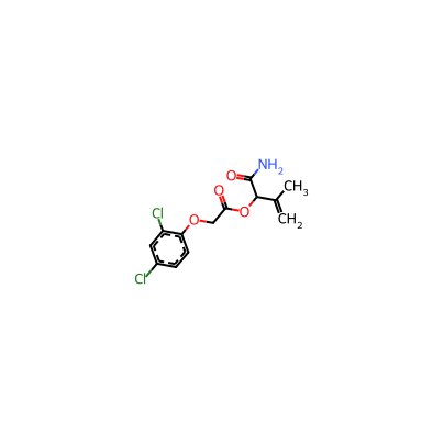 C=C(C)C(OC(=O)COc1ccc(Cl)cc1Cl)C(N)=O